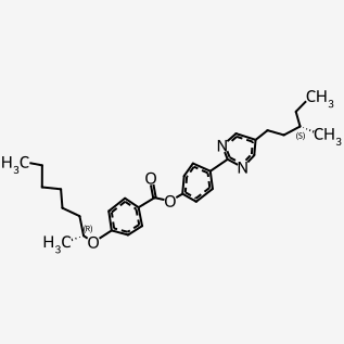 CCCCCC[C@@H](C)Oc1ccc(C(=O)Oc2ccc(-c3ncc(CC[C@@H](C)CC)cn3)cc2)cc1